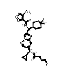 Cc1nonc1C(=O)N[C@H](c1cn2ncc([C@H](NC(=O)CCCF)C3CC3)cc2n1)C1CCC(F)(F)CC1